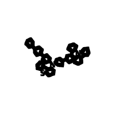 c1ccc(-c2ccc(-c3ccc(N(c4ccc(-c5cccc(-c6ccccc6-n6c7ccccc7c7ccccc76)c5)cc4)c4cccc5sc6ccccc6c45)cc3)cc2)cc1